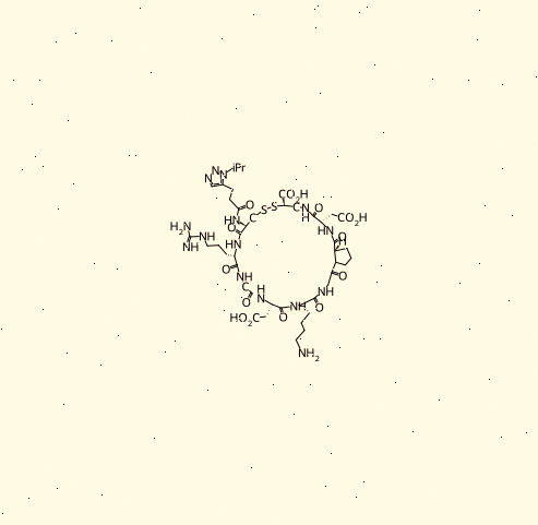 CC(C)n1nncc1CCC(=O)N[C@H]1CSS[C@@H](C(=O)O)CNC(=O)[C@H](CC(=O)O)NC(=O)[C@@H]2CCCC2C(=O)CNC(=O)[C@H](CCCCN)NC(=O)[C@H](CC(=O)O)NC(=O)CNC(=O)[C@H](CCCNC(=N)N)NC1=O